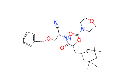 CC1(C)CC(CC(OC(=O)N2CCOCC2)C(=O)NC(C#N)COCc2ccccc2)CC(C)(C)C1